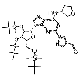 CC(C)(C)[Si](C)(C)OC[C@H]1O[C@@H](n2cnc3c(NC4CCOC4)nc(-n4cc(C=O)cn4)nc32)[C@H](O[Si](C)(C)C(C)(C)C)[C@@H]1O[Si](C)(C)C(C)(C)C